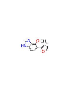 COc1c(-c2ccco2)ccc2[nH][c]nc12